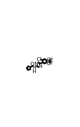 O=C(Nc1cnc(-c2cc3c(cc2Cl)OC(F)(F)O3)cn1)C1CC=CC1